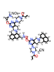 C=CC(=O)N1CCN(c2nc(OON(C)Cc3cc(N4CCc5c(nc(O[C@@H]6C[C@H]6N(C)C)nc5N5CCN(C(=O)C=C)[C@@H](CC#N)C5)C4)c4c(C)cccc4c3)nc3c2CCN(c2cccc4cccc(C)c24)C3)C[C@@H]1CC#N